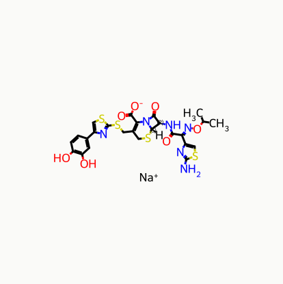 CC(C)ON=C(C(=O)N[C@@H]1C(=O)N2C(C(=O)[O-])=C(CSc3nc(-c4ccc(O)c(O)c4)cs3)CS[C@@H]12)c1csc(N)n1.[Na+]